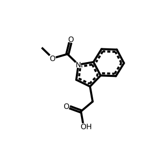 COC(=O)n1cc(CC(=O)O)c2ccccc21